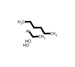 CCCCCC.C[CH2][Al].Cl.Cl